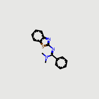 CN(C)C(=Nc1nc2ccccc2s1)c1ccccc1